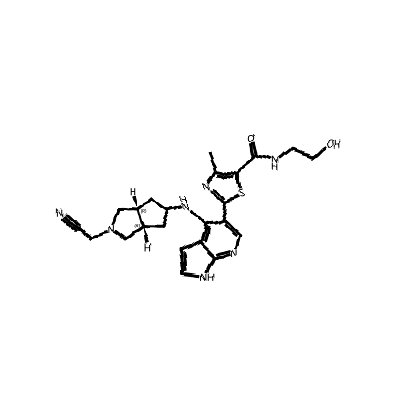 Cc1nc(-c2cnc3[nH]ccc3c2NC2C[C@@H]3CN(CC#N)C[C@@H]3C2)sc1C(=O)NCCO